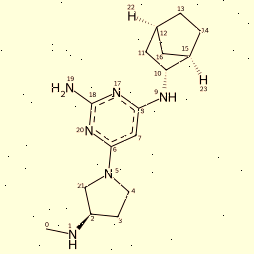 CN[C@@H]1CCN(c2cc(N[C@@H]3C[C@H]4CC[C@@H]3C4)nc(N)n2)C1